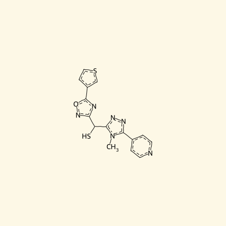 Cn1c(-c2ccncc2)nnc1C(S)c1noc(-c2ccsc2)n1